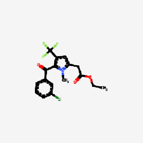 CCOC(=O)Cc1cc(C(F)(F)F)c(C(=O)c2cccc(Cl)c2)n1C